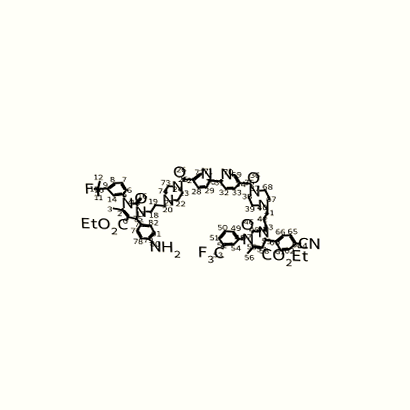 CCOC(=O)C1=C(C)N(c2cccc(C(C)(C)F)c2)C(=O)N(CCCN2CCN(C(=O)c3ccc(-c4ccc(C(=O)N5CCN(CCCN6C(=O)N(c7cccc(C(F)(F)F)c7)C(C)=C(C(=O)OCC)C6c6ccc(C#N)cc6)CC5)cn4)nc3)CC2)C1c1ccc(N)cc1